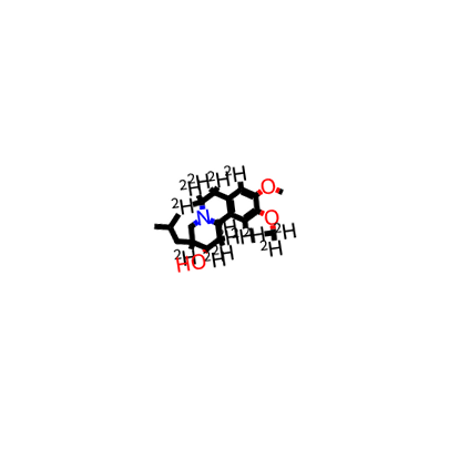 [2H]c1c(OC)c(OC([2H])([2H])[2H])c([2H])c2c1C([2H])([2H])C([2H])([2H])N1CC([2H])(CC(C)C)C([2H])(O)C([2H])([2H])C21[2H]